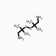 CC(C)(CN)SSC(C)(C)CN